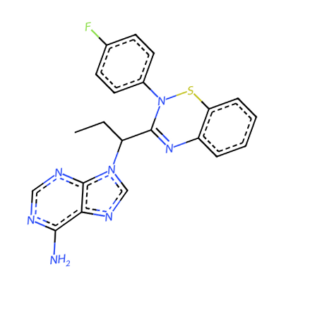 CCC(C1=Nc2ccccc2SN1c1ccc(F)cc1)n1cnc2c(N)ncnc21